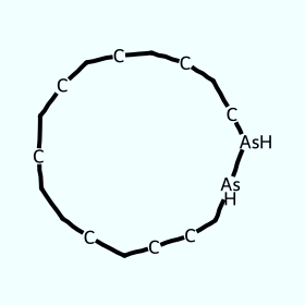 C1CCCCCCCC[AsH][AsH]CCCCCCC1